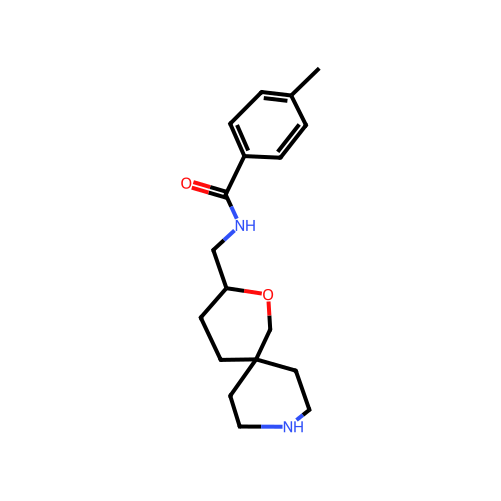 Cc1ccc(C(=O)NCC2CCC3(CCNCC3)CO2)cc1